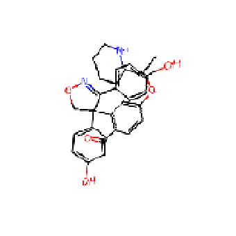 CC(Oc1ccc(C=O)c(C2(c3ccc(O)cc3)CON=C2c2ccc(O)cc2)c1)C1CCCCN1